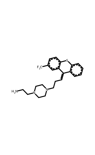 NCCN1CCN(CCC=C2c3ccccc3Sc3ccc(C(F)(F)F)cc32)CC1